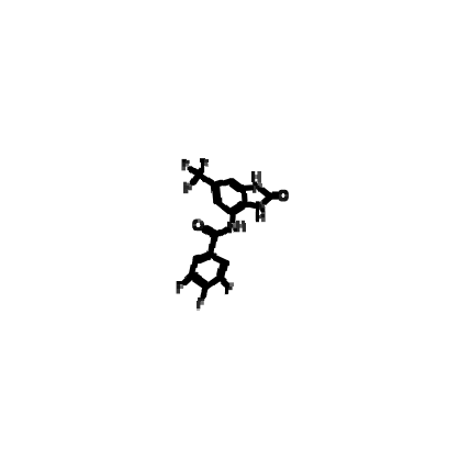 O=C(Nc1cc(C(F)(F)F)cc2[nH]c(=O)[nH]c12)c1cc(F)c(F)c(F)c1